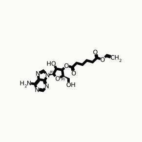 C=COC(=O)CCCCC(=O)OC1C(O)[C@H](n2cnc3c(N)ncnc32)O[C@@H]1CO